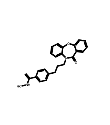 C=C(NO)c1ccc(CCCN2C(=O)c3ccccc3Oc3ccccc32)cc1